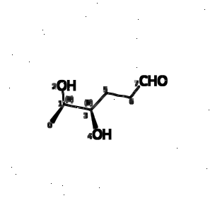 C[C@@H](O)[C@H](O)CCC=O